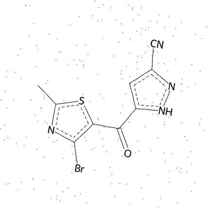 Cc1nc(Br)c(C(=O)c2cc(C#N)n[nH]2)s1